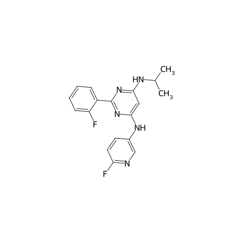 CC(C)Nc1cc(Nc2ccc(F)nc2)nc(-c2ccccc2F)n1